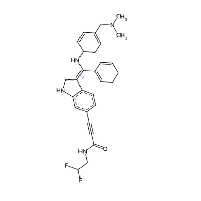 CN(C)CC1=CCC(N/C(C2=CCCC=C2)=C2\CNc3cc(C#CC(=O)NCC(F)F)ccc32)C=C1